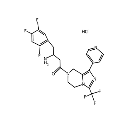 Cl.NC(CC(=O)N1CCn2c(C(F)(F)F)nc(-c3ccncc3)c2C1)Cc1cc(F)c(F)cc1F